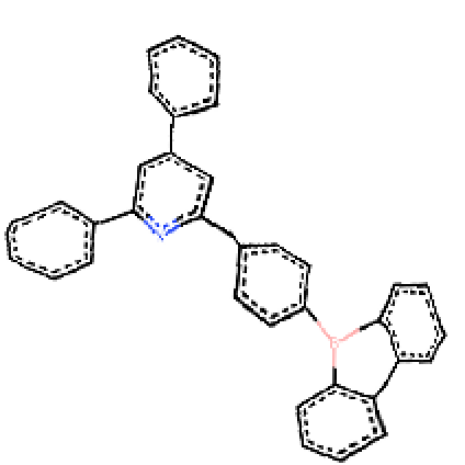 c1ccc(-c2cc(-c3ccccc3)nc(-c3ccc(B4c5ccccc5-c5ccccc54)cc3)c2)cc1